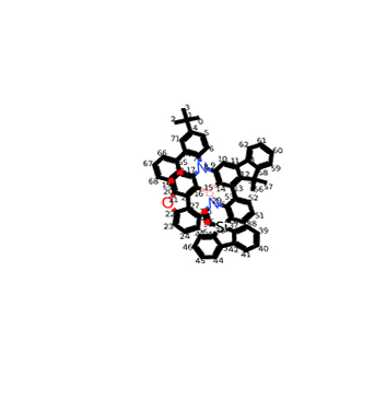 CC(C)(C)c1ccc(N2c3cc4c(c5c3B(c3c2ccc2oc6ccccc6c32)N2c3ccccc3[Si]3(c6ccccc6-c6ccccc63)c3cccc-5c32)C(C)(C)c2ccccc2-4)c(-c2ccccc2)c1